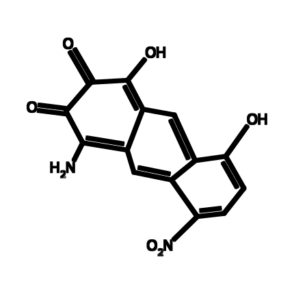 NC1=c2cc3c([N+](=O)[O-])ccc(O)c3cc2=C(O)C(=O)C1=O